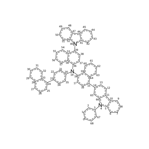 c1ccc(-n2c3ccccc3c3ccc(-c4ccc(N(c5ccc(-c6cccc7ccccc67)cc5)c5ccc(-n6c7ccccc7c7ccccc76)c6ccccc56)c5ccccc45)cc32)cc1